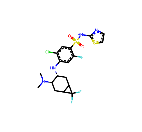 CN(C)[C@@H]1CC2C(C[C@H]1Nc1cc(F)c(S(=O)(=O)Nc3nccs3)cc1Cl)C2(F)F